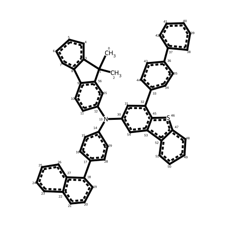 CC1(C)c2ccccc2-c2ccc(N(c3ccc(-c4cccc5ccccc45)cc3)c3cc(-c4ccc(-c5ccccc5)cc4)c4sc5ccccc5c4c3)cc21